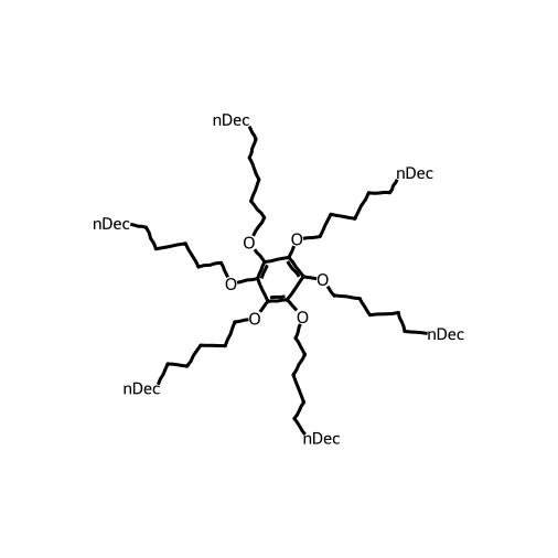 CCCCCCCCCCCCCCCOc1c(OCCCCCCCCCCCCCCC)c(OCCCCCCCCCCCCCCC)c(OCCCCCCCCCCCCCCC)c(OCCCCCCCCCCCCCCC)c1OCCCCCCCCCCCCCCC